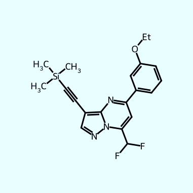 CCOc1cccc(-c2cc(C(F)F)n3ncc(C#C[Si](C)(C)C)c3n2)c1